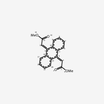 COC(=O)C=c1c2ccccc2c(=CC(=O)OC)c2ccccc12